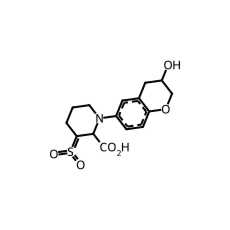 O=C(O)C1C(=S(=O)=O)CCCN1c1ccc2c(c1)CC(O)CO2